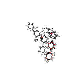 Cc1cc2c(c(-c3ccc4sc5ccccc5c4c3-c3cccc(-c4nnnc(-c5ccccc5)c4-c4ccccc4-c4ccccc4-c4ccccc4)c3-c3ccnnn3)c1C)Cc1ccccc1-2